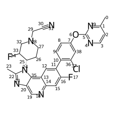 Cc1ccnc(Oc2ccc(-c3cc4c(cc3F)ncc3nc(C)n([C@H]5CCN(CC#N)CC5F)c34)c(Cl)c2)n1